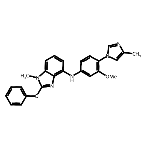 COc1cc(Nc2cccc3c2nc(Oc2ccccc2)n3C)ccc1-n1cnc(C)c1